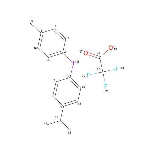 Cc1ccc([I+]c2ccc(C(C)C)cc2)cc1.O=C([O-])C(F)(F)F